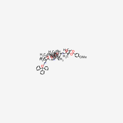 COc1ccc(C2OC[C@H](C)[C@@H]([C@@H](C)C(=O)/C=C/[C@H](C)C[C@H](C)[C@@H](O[Si](C)(C)C(C)(C)C)[C@@H](C)/C=C\[C@H](C[C@H](O[Si](C)(C)C(C)(C)C)[C@H](C)/C=C/COC(c3ccccc3)(c3ccccc3)c3ccccc3)O[Si](C)(C)C(C)(C)C)O2)cc1